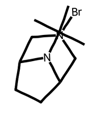 CC(C)(C)N1C2CCC1CN(Br)C2